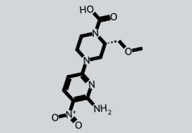 COC[C@@H]1CN(c2ccc([N+](=O)[O-])c(N)n2)CCN1C(=O)O